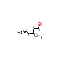 [CH]=CCC(C)CCO